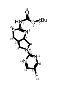 CC(C)(C)OC(=O)NC1=NC2CN(c3ncc(F)cn3)CC2CS1